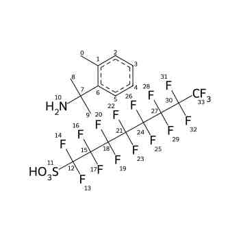 Cc1ccccc1C(C)(C)N.O=S(=O)(O)C(F)(F)C(F)(F)C(F)(F)C(F)(F)C(F)(F)C(F)(F)C(F)(F)C(F)(F)F